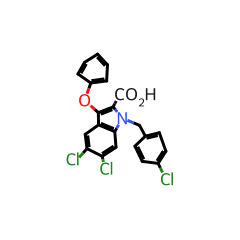 O=C(O)c1c(Oc2ccccc2)c2cc(Cl)c(Cl)cc2n1Cc1ccc(Cl)cc1